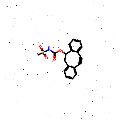 CS(=O)(=O)NC(=O)OC1Cc2ccccc2C#Cc2ccccc21